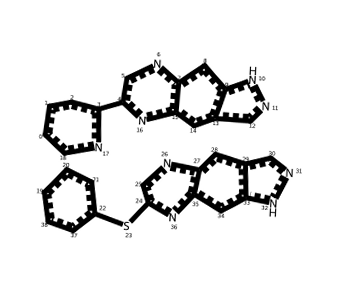 c1ccc(-c2cnc3cc4[nH]ncc4cc3n2)nc1.c1ccc(Sc2cnc3cc4cn[nH]c4cc3n2)cc1